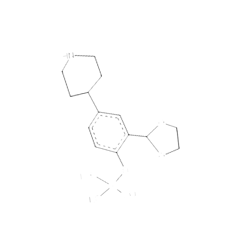 CC(C)(C)[Si](C)(C)Oc1ccc(C2CCNCC2)cc1C1OCCO1